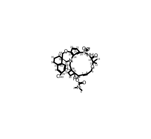 CN(C)C(=O)O[C@@H]1C=CCOC(C)(C)C(=O)NS(=O)(=O)c2ccc3c(c2)N(C[C@@H]2CC[C@H]21)C[C@@]1(CCCc2cc(Cl)ccc21)CO3